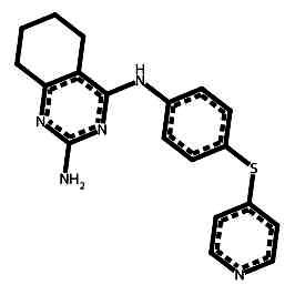 Nc1nc2c(c(Nc3ccc(Sc4ccncc4)cc3)n1)CCCC2